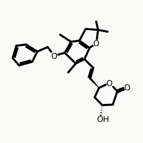 Cc1c(/C=C/[C@@H]2C[C@@H](O)CC(=O)O2)c2c(c(C)c1OCc1ccccc1)CC(C)(C)O2